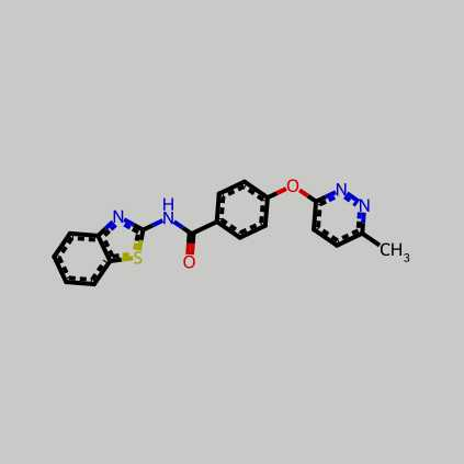 Cc1ccc(Oc2ccc(C(=O)Nc3nc4ccccc4s3)cc2)nn1